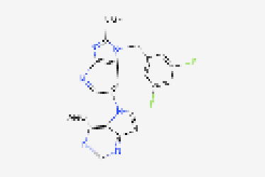 CNc1nc2ncc(-n3ccc4ncnc(OC)c43)cc2n1Cc1cc(F)cc(F)c1